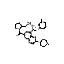 CC(Oc1cccc(F)c1)c1cc(C(=O)N2CCCC2CO)cc2ncc(N3CCOCC3)nc12